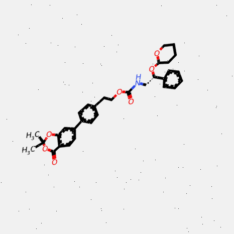 CC1(C)OC(=O)c2ccc(-c3ccc(CCOC(=O)NC[C@H](OC4CCCCO4)c4ccccc4)cc3)cc2O1